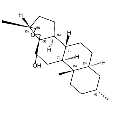 C[C@@H]1CC[C@@]2(C)[C@@H](CC[C@@H]3[C@@H]2CC[C@]24C(O)O[C@H](C)[C@H]2CC[C@@H]34)C1